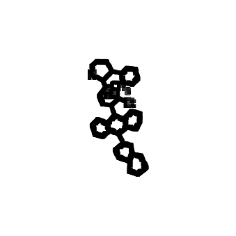 CCCCC(CC)C(/C=C\C(C)C1N=CC=CC1c1ccccc1)c1c2ccccc2c(-c2ccc3ccccc3c2)c2ccccc12